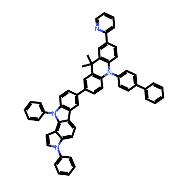 CC1(C)c2cc(-c3ccc4c(c3)c3ccc5c(ccn5-c5ccccc5)c3n4-c3ccccc3)ccc2N(c2ccc(-c3ccccc3)cc2)c2ccc(-c3ccccn3)cc21